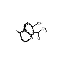 CC(=O)c1c(O)ccc2c(=O)ccoc12